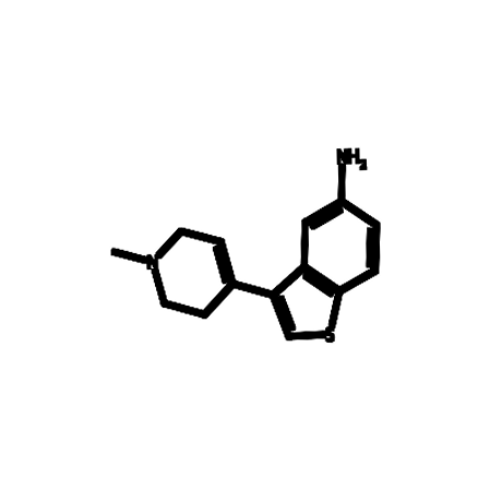 CN1CC=C(c2csc3ccc(N)cc23)CC1